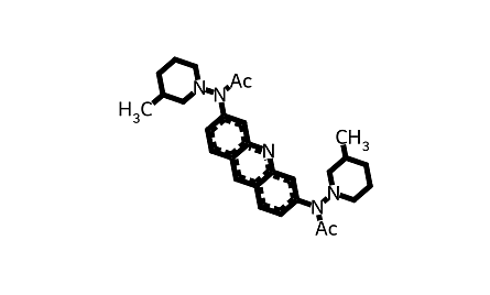 CC(=O)N(c1ccc2cc3ccc(N(C(C)=O)N4CCCC(C)C4)cc3nc2c1)N1CCCC(C)C1